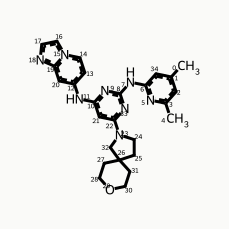 Cc1cc(C)nc(Nc2nc(Nc3ccn4ccnc4c3)cc(N3CCC4(CCOCC4)C3)n2)c1